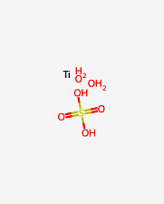 O.O.O=S(=O)(O)O.[Ti]